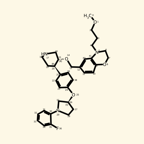 COCCCN1CCOc2ccc(CO[C@H]3CNCC[C@@H]3c3ccc(O[C@H]4CCN(c5ccccc5F)C4)cc3)cc21